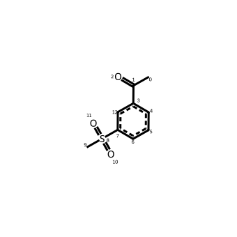 CC(=O)c1cccc(S(C)(=O)=O)c1